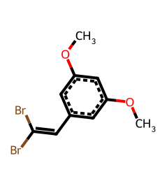 COc1cc(C=C(Br)Br)cc(OC)c1